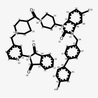 O=C(C1CCN(Cc2ccnc(N3C(=O)c4ccccc4C3=O)c2)CC1)N1CCC(n2c(=O)n(Cc3ccc(-c4ccc(F)cc4)cc3)c3cc(F)ccc32)CC1